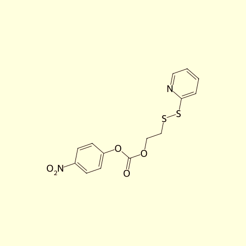 O=C(OCCSSc1ccccn1)Oc1ccc([N+](=O)[O-])cc1